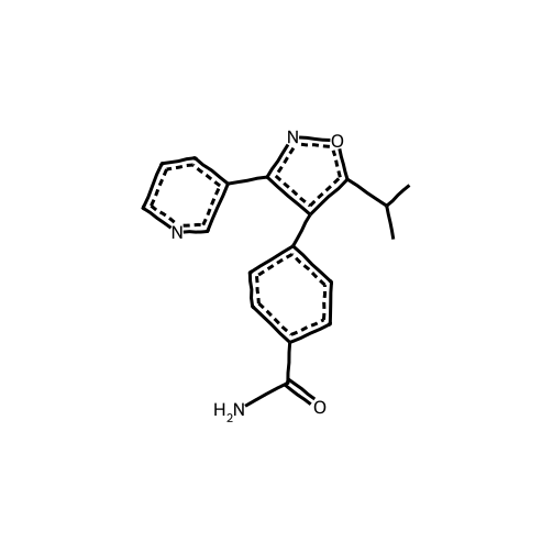 CC(C)c1onc(-c2cccnc2)c1-c1ccc(C(N)=O)cc1